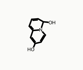 OC1=CC2=CC=CC(O)N2C=C1